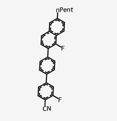 CCCCCc1ccc2c(F)c(-c3ccc(-c4ccc(C#N)c(F)c4)cc3)ccc2c1